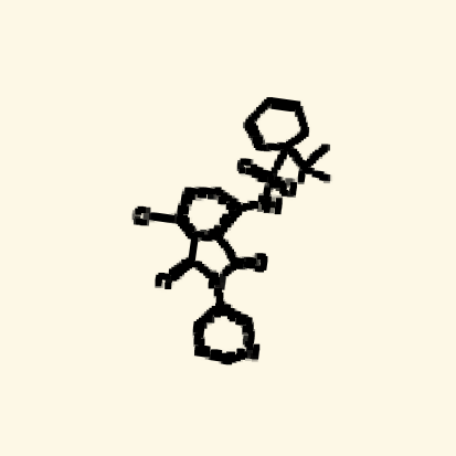 CC(C)(C)C1(S(=O)(=O)Nc2ccc(Cl)c3c2C(=O)N(c2cccnc2)C3=O)C=CC=CC1